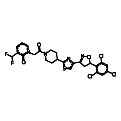 O=C(Cn1cccc(C(F)F)c1=O)N1CCC(c2nc(C3=NOC(c4c(Cl)cc(Cl)cc4Cl)C3)cs2)CC1